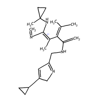 C=N/C(NC1(C)CC1)=C(\C)C(C(=C)NCC1=NCC(C2CC2)=C1)=C(C)C